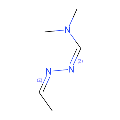 C/C=N\N=C/N(C)C